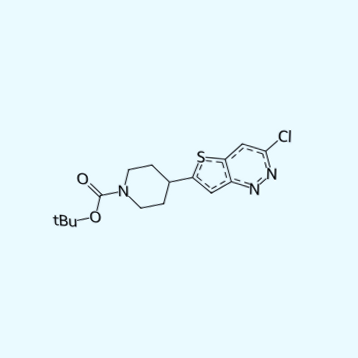 CC(C)(C)OC(=O)N1CCC(c2cc3nnc(Cl)cc3s2)CC1